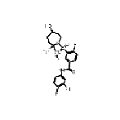 CC1(C)CCC(O)CCN1S(=O)(=O)c1cc(C(=O)Nc2ccc(F)c(Cl)c2)ccc1F